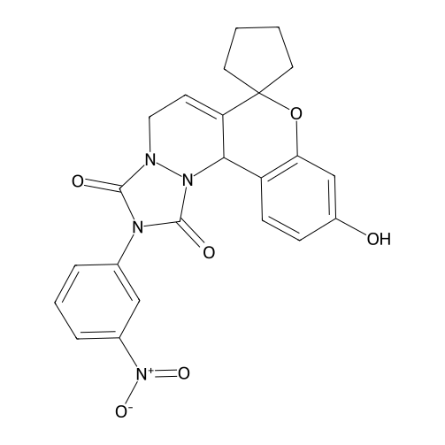 O=c1n(-c2cccc([N+](=O)[O-])c2)c(=O)n2n1CC=C1C2c2ccc(O)cc2OC12CCCC2